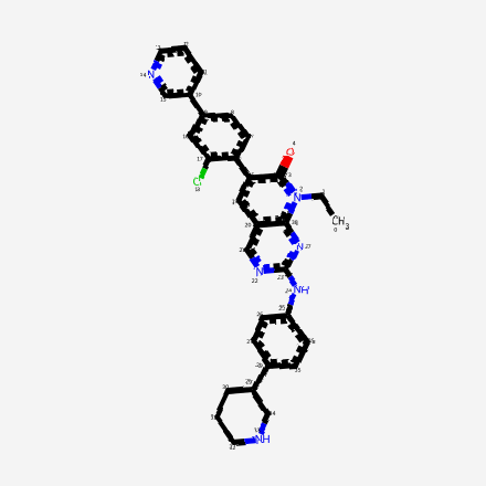 CCn1c(=O)c(-c2ccc(-c3cccnc3)cc2Cl)cc2cnc(Nc3ccc(C4CCCNC4)cc3)nc21